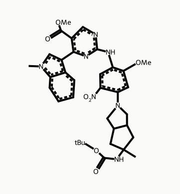 COC(=O)c1cnc(Nc2cc([N+](=O)[O-])c(N3CC4CC(C)(NC(=O)OC(C)(C)C)CC4C3)cc2OC)nc1-c1cn(C)c2ccccc12